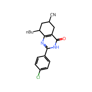 CCCCC1CC(C#N)Cc2c1nc(-c1ccc(Cl)cc1)[nH]c2=O